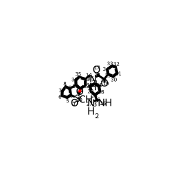 CS(=O)(=O)c1ccccc1-c1ccc(CNC(=O)C(Oc2cccc(C(=N)N)c2)c2ccccc2)cc1